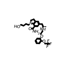 C[C@H](Cc1cc2c(c(C(N)=O)c1)N(CCCCO)CC2)NCCOc1ccccc1OCC(F)(F)F